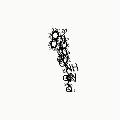 CO/C=C/c1nnc(CNC(=O)CN(CC2CCN(C(C)c3cccc4ccccc34)CC2)[SH](=O)=O)o1